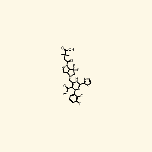 COC(=O)C1=C(CN2CC(F)(F)C3C2C=NN3C(=O)CC(C)(C)C(=O)O)NC(c2nccs2)=NC1c1cccc(F)c1Cl